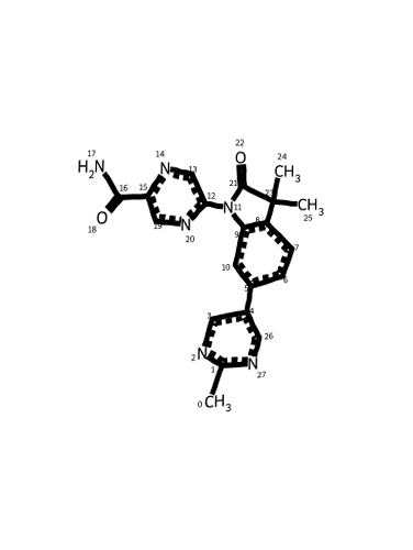 Cc1ncc(-c2ccc3c(c2)N(c2cnc(C(N)=O)cn2)C(=O)C3(C)C)cn1